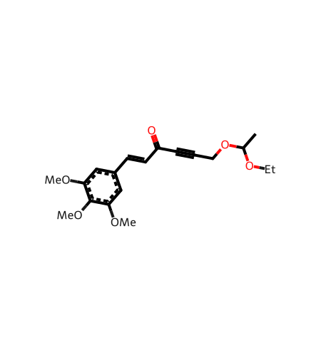 CCOC(C)OCC#CC(=O)C=Cc1cc(OC)c(OC)c(OC)c1